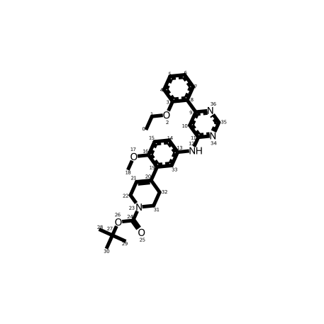 CCOc1ccccc1-c1cc(Nc2ccc(OC)c(C3=CCN(C(=O)OC(C)(C)C)CC3)c2)ncn1